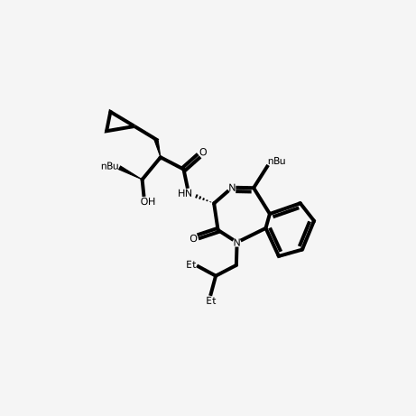 CCCCC1=N[C@@H](NC(=O)[C@H](CC2CC2)[C@@H](O)CCCC)C(=O)N(CC(CC)CC)c2ccccc21